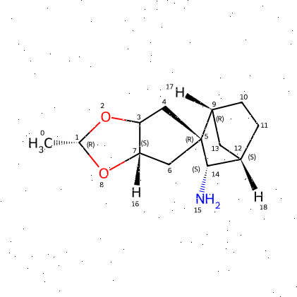 C[C@@H]1OC2C[C@@]3(C[C@@H]2O1)[C@@H]1CC[C@@H](C1)[C@@H]3N